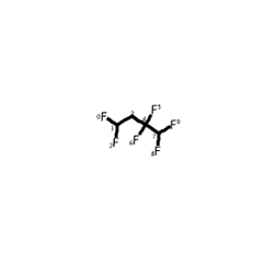 FC(F)CC(F)(F)C(F)F